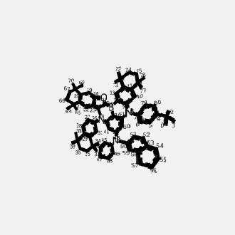 CC(C)(C)c1ccc(N2c3cc4c(cc3B3c5oc6cc7c(cc6c5N(c5ccc6c(c5)C(C)(C)CCC6(C)C)c5cc(N(c6ccccc6)c6ccc8ccccc8c6)cc2c53)C(C)(C)CCC7(C)C)C(C)(C)CCC4(C)C)cc1